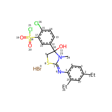 Br.CCc1ccc(N=C2SCC(O)(c3ccc(Cl)c(S(=O)(=O)Cl)c3)N2C)c(CC)c1